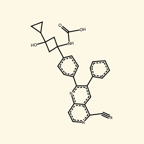 N#Cc1nccc2nc(-c3ccc(C4(NC(=O)O)CC(O)(C5CC5)C4)cc3)c(-c3ccccc3)cc12